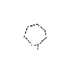 C1CCSNNC1